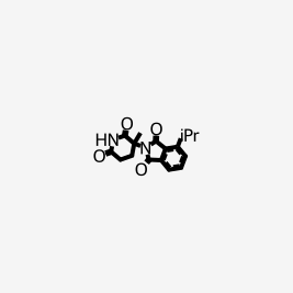 CC(C)c1cccc2c1C(=O)N(C1(C)CCC(=O)NC1=O)C2=O